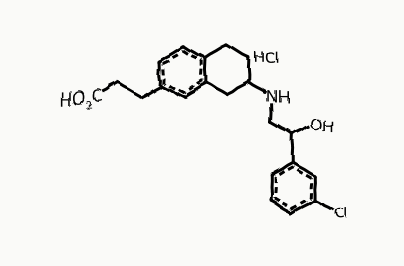 Cl.O=C(O)CCc1ccc2c(c1)CC(NCC(O)c1cccc(Cl)c1)CC2